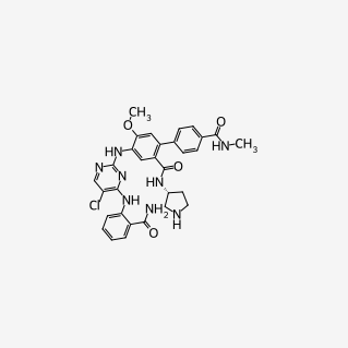 CNC(=O)c1ccc(-c2cc(OC)c(Nc3ncc(Cl)c(Nc4ccccc4C(N)=O)n3)cc2C(=O)N[C@@H]2CCNC2)cc1